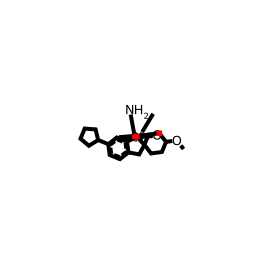 COC1CCC2(CC1)Cc1ccc(C3CCCC3)cc1C21N=C(N)N(C)C1=O